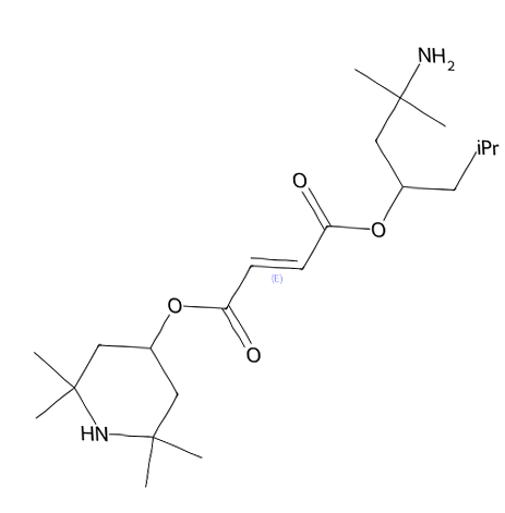 CC(C)CC(CC(C)(C)N)OC(=O)/C=C/C(=O)OC1CC(C)(C)NC(C)(C)C1